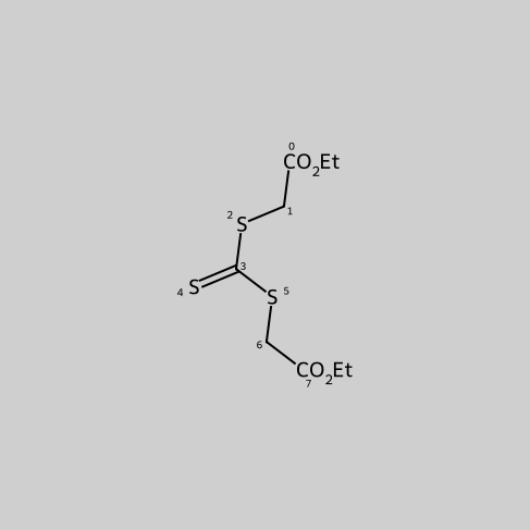 CCOC(=O)CSC(=S)SCC(=O)OCC